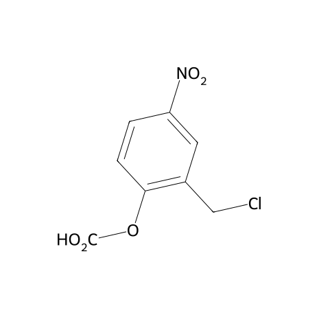 O=C(O)Oc1ccc([N+](=O)[O-])cc1CCl